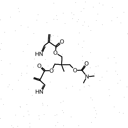 C=C(C=N)C(=O)OCC(C)(COC(=O)C(=C)C=N)COC(=O)N(C)C